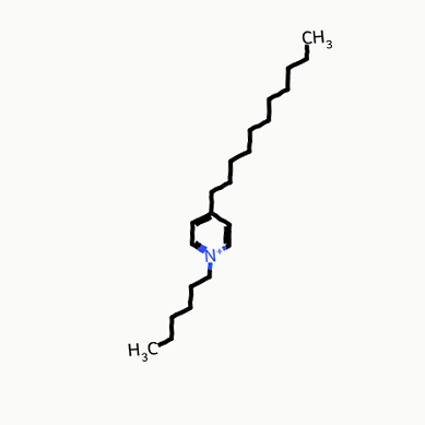 CCCCCCCCCCCc1cc[n+](CCCCCC)cc1